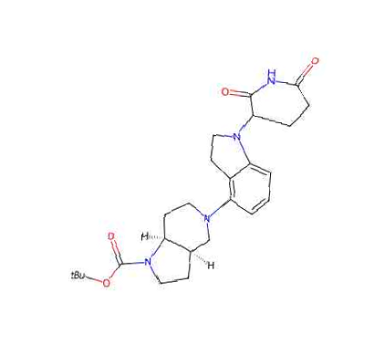 CC(C)(C)OC(=O)N1CC[C@@H]2CN(c3cccc4c3CCN4C3CCC(=O)NC3=O)CC[C@@H]21